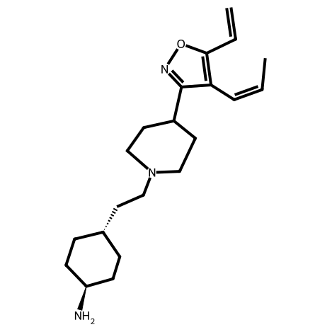 C=Cc1onc(C2CCN(CC[C@H]3CC[C@H](N)CC3)CC2)c1/C=C\C